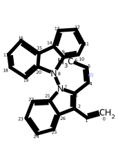 C=Cc1c(/C=C\C)n(-n2c3ccccc3c3ccccc32)c2ccccc12